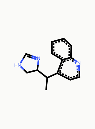 CC(c1ccnc2ccccc12)C1CNC=N1